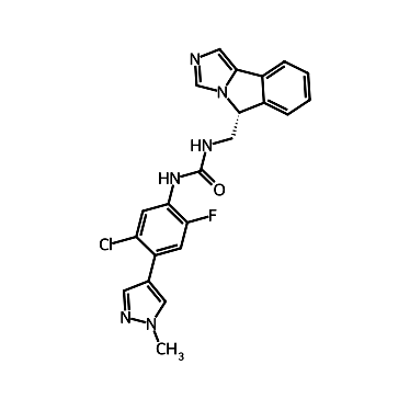 Cn1cc(-c2cc(F)c(NC(=O)NC[C@H]3c4ccccc4-c4cncn43)cc2Cl)cn1